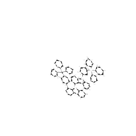 c1ccc(C2(c3ccccc3)c3ccccc3-c3cc(-c4cccc5c6ccccc6n(-c6cccc7c6c6ccccc6n7-c6cccc([Si](c7ccccc7)(c7ccccc7)c7ccccc7)c6)c45)ccc32)cc1